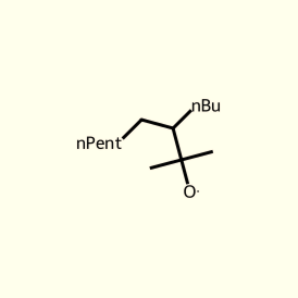 CCCCCCC(CCCC)C(C)(C)[O]